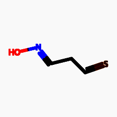 ON=CCC=S